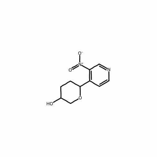 O=[N+]([O-])c1cnccc1C1CCC(O)CO1